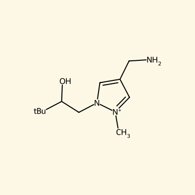 C[n+]1cc(CN)cn1CC(O)C(C)(C)C